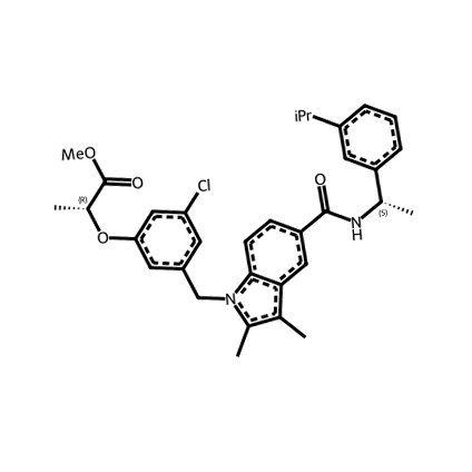 COC(=O)[C@@H](C)Oc1cc(Cl)cc(Cn2c(C)c(C)c3cc(C(=O)N[C@@H](C)c4cccc(C(C)C)c4)ccc32)c1